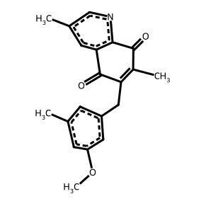 COc1cc(C)cc(CC2=C(C)C(=O)c3ncc(C)cc3C2=O)c1